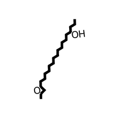 CCCC(O)CCCCCCCCCCCCCC1CC(C)O1